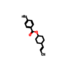 CCCCc1ccc(C(=O)OC2CCC(C=CC#N)CC2)cc1